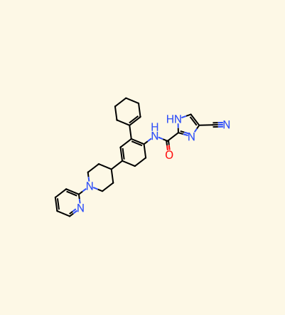 N#Cc1c[nH]c(C(=O)NC2=C(C3=CCCCC3)C=C(C3CCN(c4ccccn4)CC3)CC2)n1